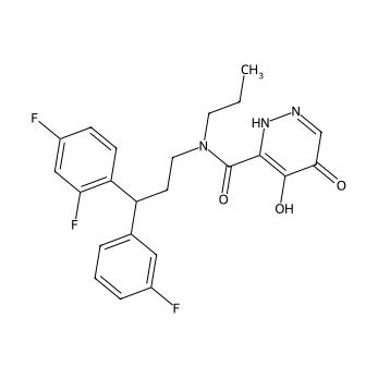 CCCN(CCC(c1cccc(F)c1)c1ccc(F)cc1F)C(=O)c1[nH]ncc(=O)c1O